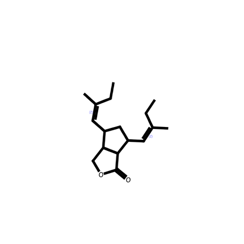 CC/C(C)=C\C1CC(/C=C(/C)CC)C2C(=O)OCC12